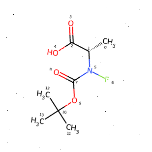 C[C@@H](C(=O)O)N(F)C(=O)OC(C)(C)C